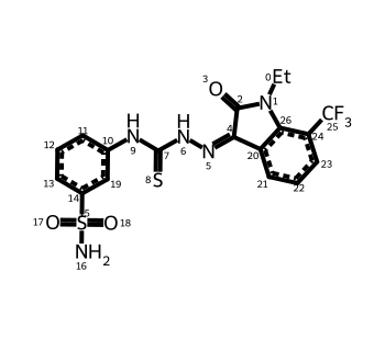 CCN1C(=O)C(=NNC(=S)Nc2cccc(S(N)(=O)=O)c2)c2cccc(C(F)(F)F)c21